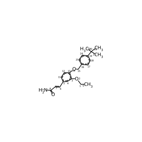 CCOc1cc(/C=C/C(N)=O)ccc1OCc1ccc(C(C)(C)C)cc1